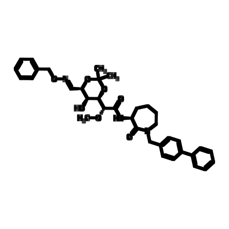 CO[C@@H](C(=O)N[C@H]1CCCCN(Cc2ccc(-c3ccccc3)cc2)C1=O)[C@@H]1OC(C)(C)O[C@H](C=NOCc2ccccc2)[C@@H]1O